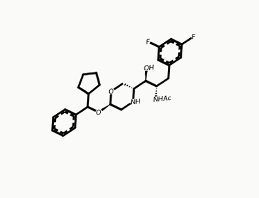 CC(=O)N[C@@H](Cc1cc(F)cc(F)c1)[C@H](O)[C@H]1CO[C@H](OC(c2ccccc2)C2CCCC2)CN1